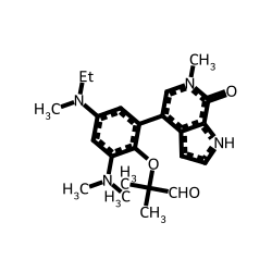 CCN(C)c1cc(-c2cn(C)c(=O)c3[nH]ccc23)c(OC(C)(C)C=O)c(N(C)C)c1